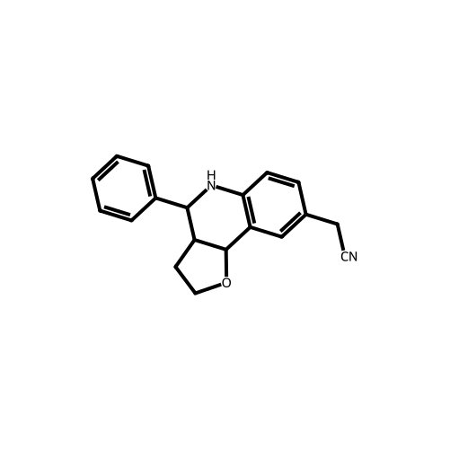 N#CCc1ccc2c(c1)C1OCCC1C(c1ccccc1)N2